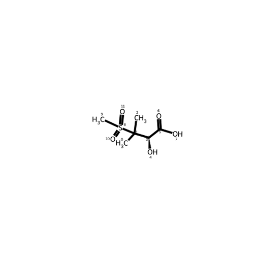 CC(C)([C@H](O)C(=O)O)S(C)(=O)=O